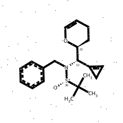 CC(C)(C)[S@+]([O-])N(Cc1ccccc1)[C@@H](C1=CC1)[C@@H]1CCC=CO1